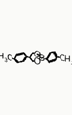 Cc1ccc(B2OCC(c3ccc(C)cc3)CO2)cc1